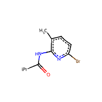 Cc1ccc(Br)nc1NC(=O)C(C)C